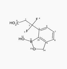 O=C(O)CC(F)(F)c1cccc2c1B(O)OC2